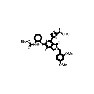 COc1ccc(CN2Cc3c(F)c(NC4CCCCC4NC(=O)OC(C)(C)C)nc(-c4cnc(NC=O)s4)c3C2=O)c(OC)c1